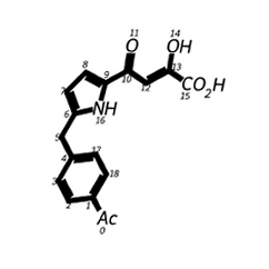 CC(=O)c1ccc(Cc2ccc(C(=O)/C=C(\O)C(=O)O)[nH]2)cc1